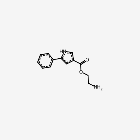 NCCOC(=O)c1c[nH]c(-c2ccccc2)c1